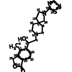 Cc1c(C(O)CN2CCC3(CC2)CCN(c2ncns2)C3)ccc2c1COC2=O